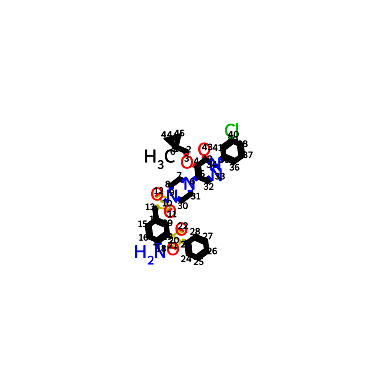 CC1(COc2c(N3CCN(S(=O)(=O)Cc4ccc(N)c(S(=O)(=O)c5ccccc5)c4)CC3)cnn(-c3cccc(Cl)c3)c2=O)CC1